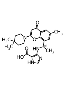 Cc1cc([C@@H](C)Nc2nc[nH]c2C(=O)O)c2oc(N3CCC(C)(C)CC3)cc(=O)c2c1